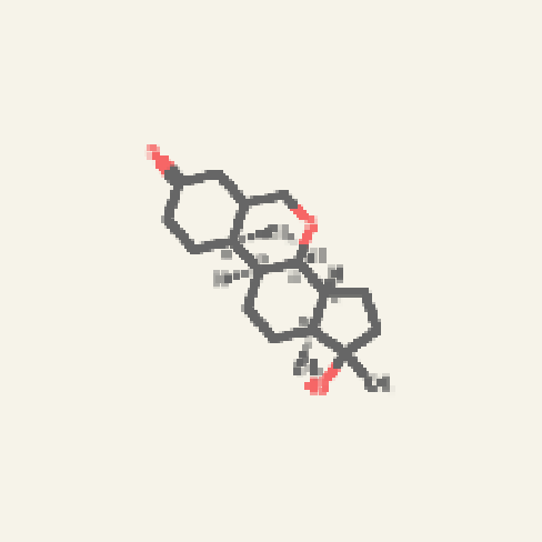 CC1(O)CC[C@H]2[C@@H]3OCC4CC(=O)CC[C@]4(C)[C@@H]3CC[C@@]21C